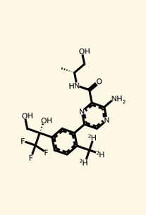 [2H]C([2H])([2H])c1ccc([C@](O)(CO)C(F)(F)F)cc1-c1cnc(N)c(C(=O)N[C@H](C)CO)n1